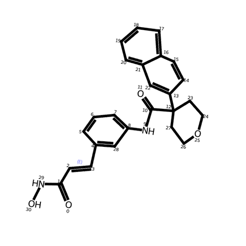 O=C(/C=C/c1cccc(NC(=O)C2(c3ccc4ccccc4c3)CCOCC2)c1)NO